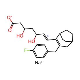 O=C([O-])CC(O)CC(O)/C=C/C1=C(Cc2ccc(F)cc2)CC2CCC1CC2.[Na+]